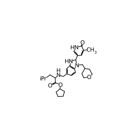 Cc1cc(C2Nc3cc(CNC(CC(C)C)C(=O)OC4CCCC4)ccc3N2CC2CCOCC2)c[nH]c1=O